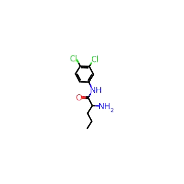 CCCC(N)C(=O)Nc1ccc(Cl)c(Cl)c1